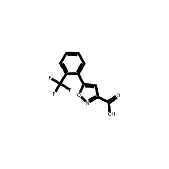 O=C(O)c1cc(-c2ccccc2C(F)(F)F)on1